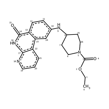 CCOC(=O)N1CCC(Nc2ccc3c(=O)[nH]c4ncccc4c3c2)CC1